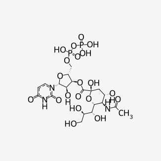 CC(=O)N[C@H]1[C@H]([C@H](O)[C@H](O)CO)O[C@](O)(C(=O)O[C@H]2[C@@H](O)[C@H](n3ccc(=O)[nH]c3=O)O[C@@H]2COP(=O)(O)OP(=O)(O)O)C[C@@H]1O